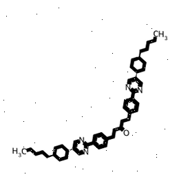 CCCCC[C@H]1CC[C@H](c2cnc(-c3ccc(CCC(=O)CCc4ccc(-c5ncc([C@H]6CC[C@H](CCCCC)CC6)cn5)cc4)cc3)nc2)CC1